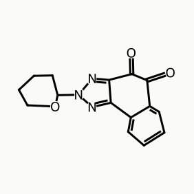 O=C1C(=O)c2nn(C3CCCCO3)nc2-c2ccccc21